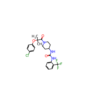 CC(C)(Oc1ccc(Cl)cc1)C(=O)N1CCC(NC(=O)Nc2ccccc2C(F)(F)F)CC1